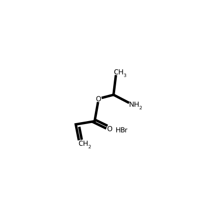 Br.C=CC(=O)OC(C)N